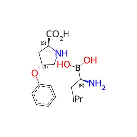 CC(C)C[C@H](N)B(O)O.O=C(O)[C@@H]1C[C@@H](Oc2ccccc2)CN1